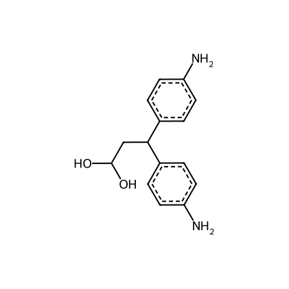 Nc1ccc(C(CC(O)O)c2ccc(N)cc2)cc1